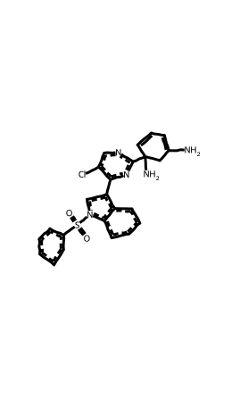 NC1=CC=CC(N)(c2ncc(Cl)c(-c3cn(S(=O)(=O)c4ccccc4)c4ccccc34)n2)C1